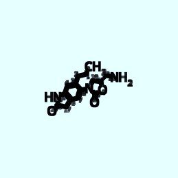 CCCc1cc2c(cc1N1C[C@@H](CN)OC1=O)CC(=O)N2